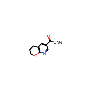 COC(=O)c1cnc2c(c1)CCCO2